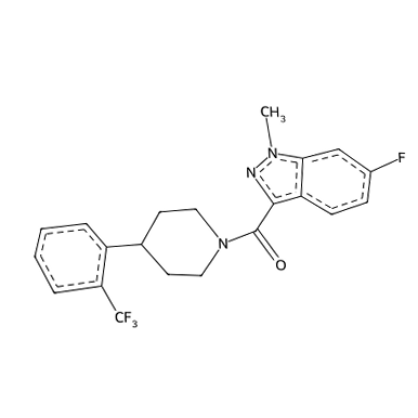 Cn1nc(C(=O)N2CCC(c3ccccc3C(F)(F)F)CC2)c2ccc(F)cc21